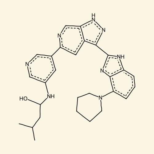 CC(C)CC(O)Nc1cncc(-c2cc3c(-c4nc5c(N6CCCCC6)cccc5[nH]4)n[nH]c3cn2)c1